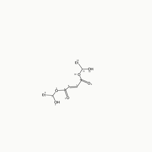 CCC(O)OC(=O)C=CC(=O)OC(O)CC